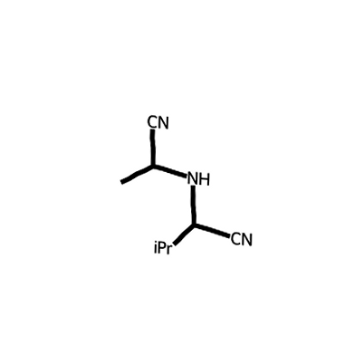 CC(C#N)NC(C#N)C(C)C